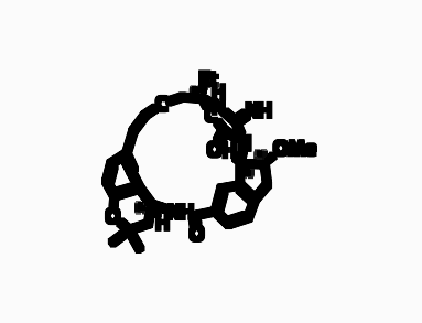 CC[C@]12CCCCc3ccc4c(c3)[C@H](CC(C)(C)O4)NC(=O)c3ccc4c(c3)[C@@H]([C@@H](OC)C4)N(C(=N)N1)C(=O)C2